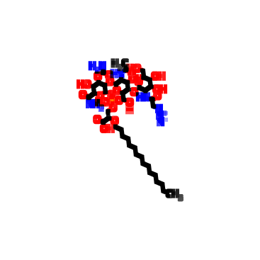 CCCCCCCCCCCCCCCCO[C@H](COP(=O)(O)O[C@H]1OC(C(N)=O)[C@@H](O)C(OC(N)=O)C1O[C@@H]1OC(CO)[C@@H](O[C@@H]2OC(CO)[C@H](O)C(O)C2NC(=O)CN=[N+]=[N-])C(O)C1NC(C)=O)C(=O)O